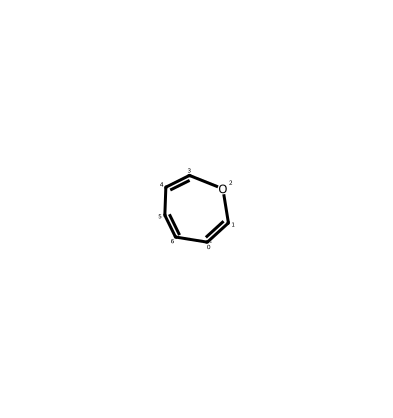 [C]1=COC=CC=C1